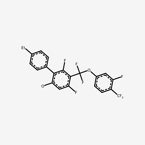 CCc1ccc(-c2c([O])cc(F)c(C(F)(F)Oc3ccc(C(F)(F)F)c(F)c3)c2F)cc1